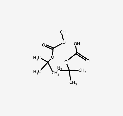 CC(C)(C)OC(=O)O.COC(=O)OC(C)(C)C